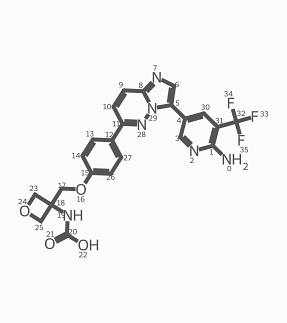 Nc1ncc(-c2cnc3ccc(-c4ccc(OCC5(NC(=O)O)COC5)cc4)nn23)cc1C(F)(F)F